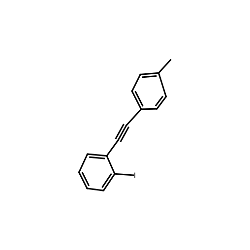 Cc1ccc(C#Cc2ccccc2I)cc1